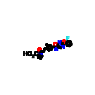 Cc1cc(-c2nc3cnc(Oc4ccccc4F)nc3o2)ccc1CCC(=O)N1CCC[C@H]1C(=O)O